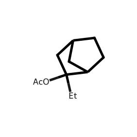 [CH2]C(=O)OC1(CC)CC2CCC1C2